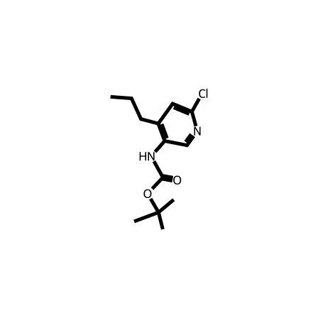 CCCc1cc(Cl)ncc1NC(=O)OC(C)(C)C